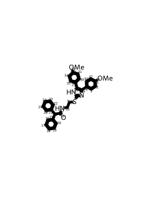 COc1ccc(-c2nc(SCCNC(=O)C(c3ccccc3)c3ccccc3)[nH]c2-c2ccc(OC)cc2)cc1